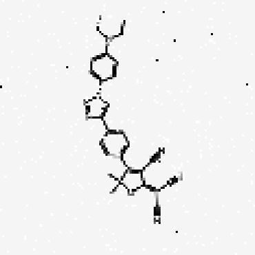 CCN(CC)c1ccc(-n2cc(-c3ccc(C4=C(C#N)C(=C(C#N)C#N)OC4(C)C)cc3)nn2)cc1